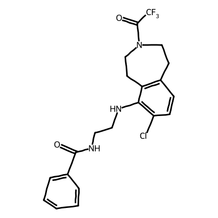 O=C(NCCNc1c(Cl)ccc2c1CCN(C(=O)C(F)(F)F)CC2)c1ccccc1